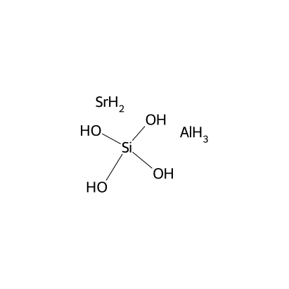 O[Si](O)(O)O.[AlH3].[SrH2]